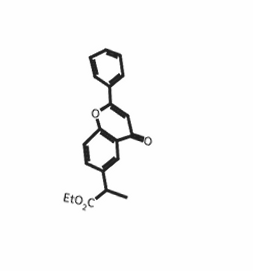 CCOC(=O)C(C)c1ccc2oc(-c3ccccc3)cc(=O)c2c1